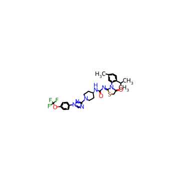 Cc1ccc(C(C)C)c(N2C(=O)CS/C2=N\C(=O)NC2CCN(c3ncn(-c4ccc(OC(F)(F)F)cc4)n3)CC2)c1